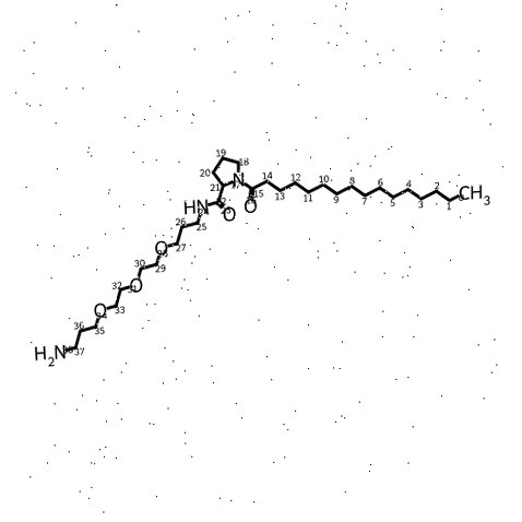 CCCCCCCCCCCCCCCC(=O)N1CCCC1C(=O)NCCCOCCOCCOCCCN